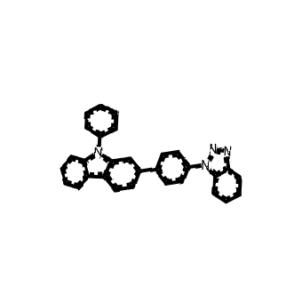 c1ccc(-n2c3ccccc3c3ccc(-c4ccc(-n5nnc6ccccc65)cc4)cc32)cc1